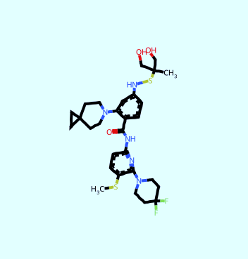 CSc1ccc(NC(=O)c2ccc(NSC(C)(CO)CO)cc2N2CCC3(CC2)CC3)nc1N1CCC(F)(F)CC1